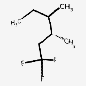 CCC(C)[C@H](C)CC(F)(F)F